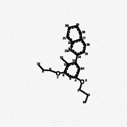 CCCOc1cc(OCCC)c(C)c(-c2ccc3ccccc3n2)c1